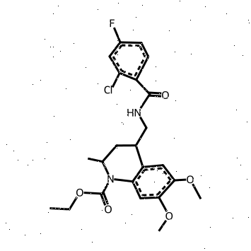 CCOC(=O)N1c2cc(OC)c(OC)cc2C(CNC(=O)c2ccc(F)cc2Cl)CC1C